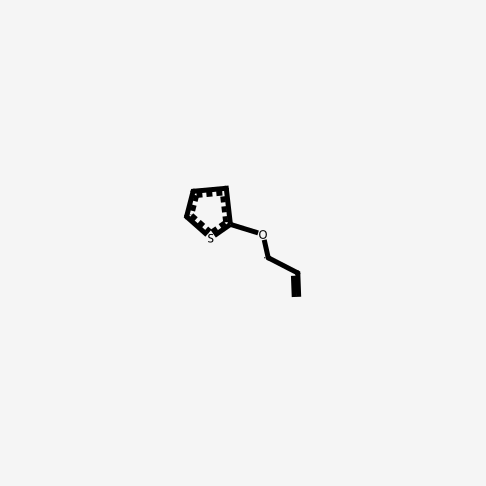 C=C[CH]Oc1cccs1